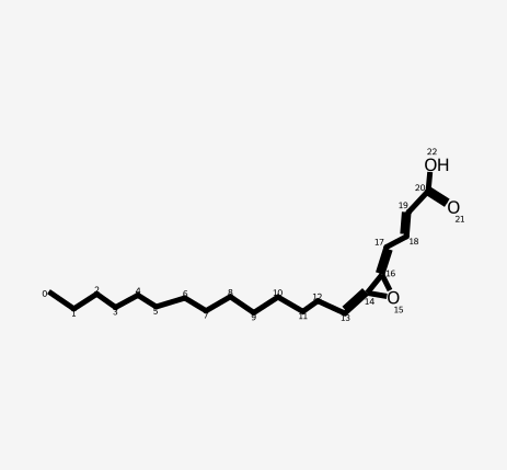 CCCCCCCCCCCCCC=C1OC1=CC=CC(=O)O